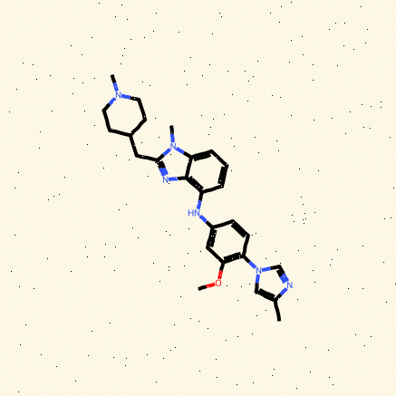 COc1cc(Nc2cccc3c2nc(CC2CCN(C)CC2)n3C)ccc1-n1cnc(C)c1